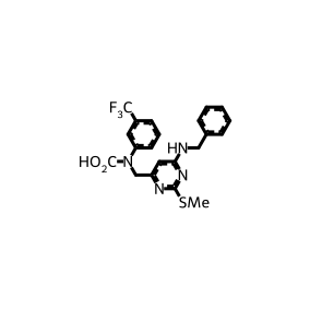 CSc1nc(CN(C(=O)O)c2cccc(C(F)(F)F)c2)cc(NCc2ccccc2)n1